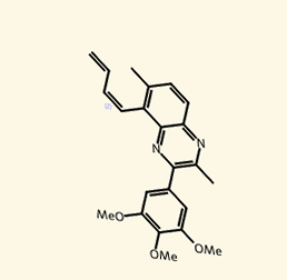 C=C/C=C\c1c(C)ccc2nc(C)c(-c3cc(OC)c(OC)c(OC)c3)nc12